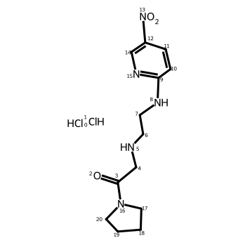 Cl.Cl.O=C(CNCCNc1ccc([N+](=O)[O-])cn1)N1CCCC1